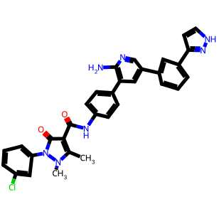 Cc1c(C(=O)Nc2ccc(-c3cc(-c4cccc(-c5cc[nH]n5)c4)cnc3N)cc2)c(=O)n(-c2cccc(Cl)c2)n1C